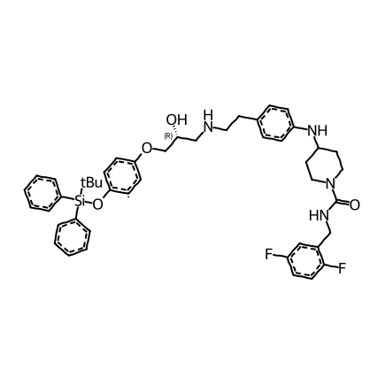 CC(C)(C)[Si](Oc1[c]cc(OC[C@H](O)CNCCc2ccc(NC3CCN(C(=O)NCc4cc(F)ccc4F)CC3)cc2)cc1)(c1ccccc1)c1ccccc1